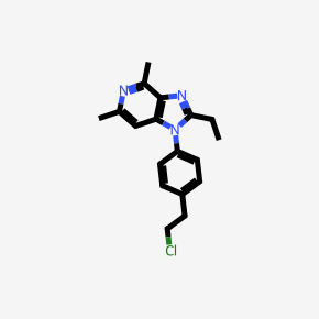 CCc1nc2c(C)nc(C)cc2n1-c1ccc(CCCl)cc1